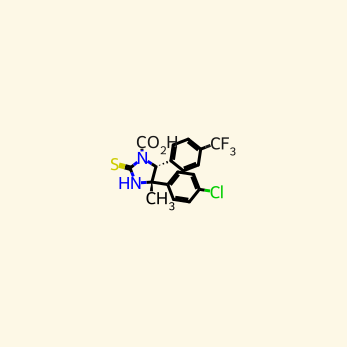 C[C@@]1(c2ccc(Cl)cc2)NC(=S)N(C(=O)O)[C@@H]1c1ccc(C(F)(F)F)cc1